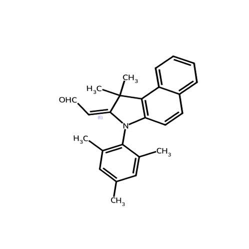 Cc1cc(C)c(N2/C(=C/C=O)C(C)(C)c3c2ccc2ccccc32)c(C)c1